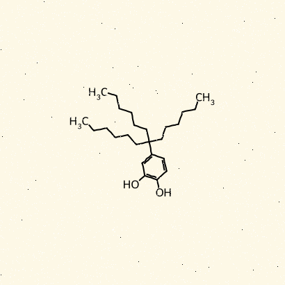 CCCCCCC(CCCCCC)(CCCCCC)c1ccc(O)c(O)c1